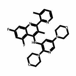 Cc1cccnc1-c1nc2cc(F)cc(F)c2c(Nc2cc(N3CCOCC3)cnc2N2CCOCC2)c1C